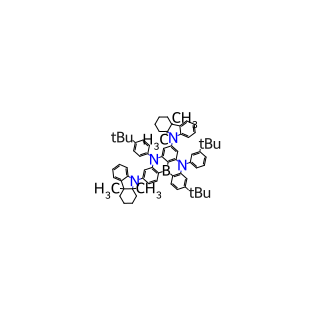 CC(C)(C)c1ccc(N2c3cc(N4c5ccccc5C5(C)CCCCC45C)ccc3B3c4ccc(C(C)(C)C)cc4N(c4cccc(C(C)(C)C)c4)c4cc(N5c6ccccc6C6(C)CCCCC56C)cc2c43)cc1